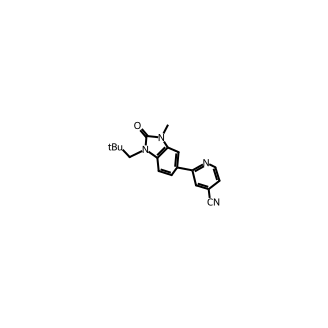 Cn1c(=O)n(CC(C)(C)C)c2ccc(-c3cc(C#N)ccn3)cc21